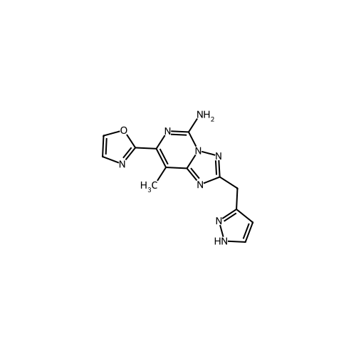 Cc1c(-c2ncco2)nc(N)n2nc(Cc3cc[nH]n3)nc12